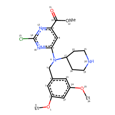 CCOc1cc(CN(c2cc(C(=O)OC)nc(Cl)n2)C2CCNCC2)cc(OCC)c1